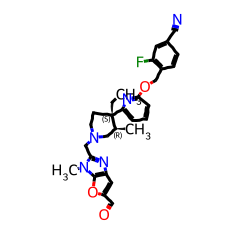 CC[C@]1(c2cccc(OCc3ccc(C#N)cc3F)n2)CCN(Cc2nc3cc(C=O)oc3n2C)C[C@@H]1C